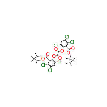 CC1(C)C(C)(C)C1(C)COC(=O)c1c(Cl)c(Cl)cc(Cl)c1OC(=O)C(=O)Oc1c(Cl)cc(Cl)c(Cl)c1C(=O)OCC1(C)C(C)(C)C1(C)C